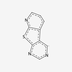 [c]1ncnc2sc3ncccc3c12